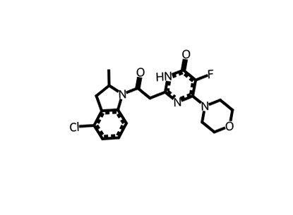 CC1Cc2c(Cl)cccc2N1C(=O)Cc1nc(N2CCOCC2)c(F)c(=O)[nH]1